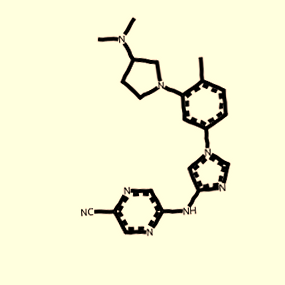 Cc1ccc(-n2cnc(Nc3cnc(C#N)cn3)c2)cc1N1CCC(N(C)C)C1